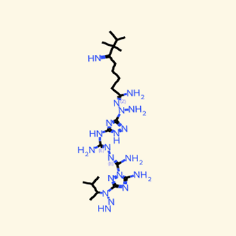 CC(C)C(C)N(N=N)c1nc(N)n(/C(N)=N/N=C(\N)Nc2nc(N(N)/N=C(\N)CCCCC(=N)C(C)(C)C(C)C)n[nH]2)n1